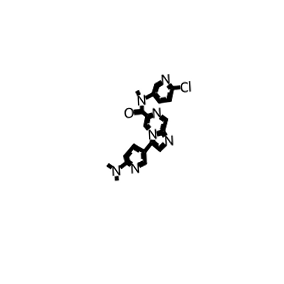 CN(C)c1ccc(-c2cnc3cnc(C(=O)N(C)c4ccc(Cl)nc4)cn23)cn1